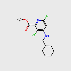 COC(=O)c1nc(Cl)cc(NCC2CCCCC2)c1Cl